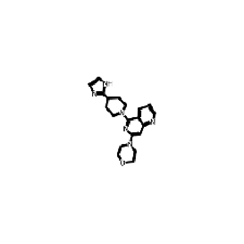 c1cnc2cc(N3CCOCC3)nc(N3CCC(c4ncc[nH]4)CC3)c2c1